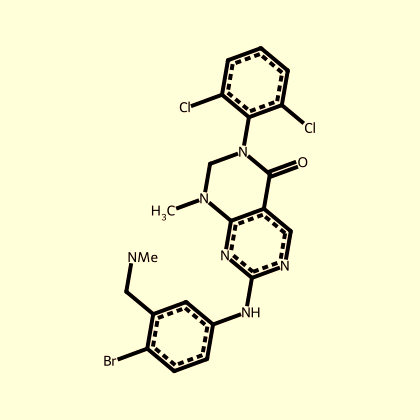 CNCc1cc(Nc2ncc3c(n2)N(C)CN(c2c(Cl)cccc2Cl)C3=O)ccc1Br